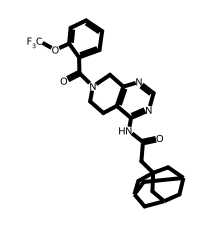 O=C(CC12CC3CC(CC(C3)C1)C2)Nc1ncnc2c1CCN(C(=O)c1ccccc1OC(F)(F)F)C2